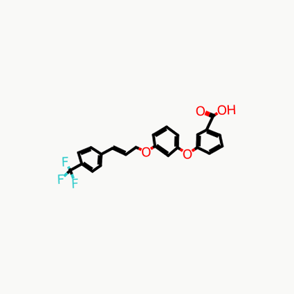 O=C(O)c1cccc(Oc2cccc(OCC=Cc3ccc(C(F)(F)F)cc3)c2)c1